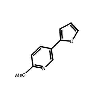 COc1ccc(-c2ccco2)cn1